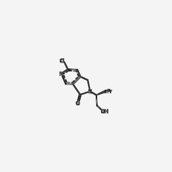 CCC[C@@H](CO)N1Cc2cc(Cl)ncc2C1=O